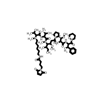 CCC(C)C(C(CC(=O)N1CCC[C@H]1C(OC)C(C)C(=O)NC(C(=O)N1CCCCO1)C(C)c1ccccc1)OC)N(C)C(=O)C(NC(=O)C(C(C)C)N(C)CCCCCCNC(=O)CCCN1C(=O)C=CC1=O)C(C)C